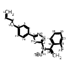 C=CCOc1ccc(-c2nnc(N(CCCC)C(=C)c3ccccc3F)s2)cc1